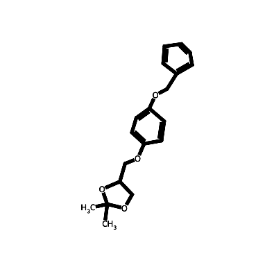 CC1(C)OCC(COc2ccc(OCc3ccccc3)cc2)O1